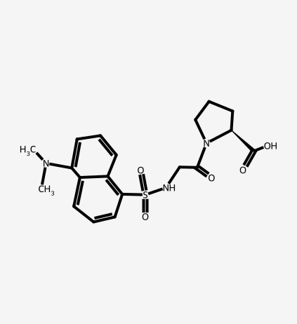 CN(C)c1cccc2c(S(=O)(=O)NCC(=O)N3CCC[C@H]3C(=O)O)cccc12